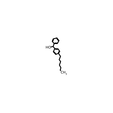 CCCCCCCc1ccc(C(O)c2ccccc2)cc1